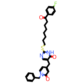 O=C(CCCCCCCSc1ncc(Cc2ccn(Cc3ccccc3)c(=O)c2)c(=O)[nH]1)c1ccc(F)cc1